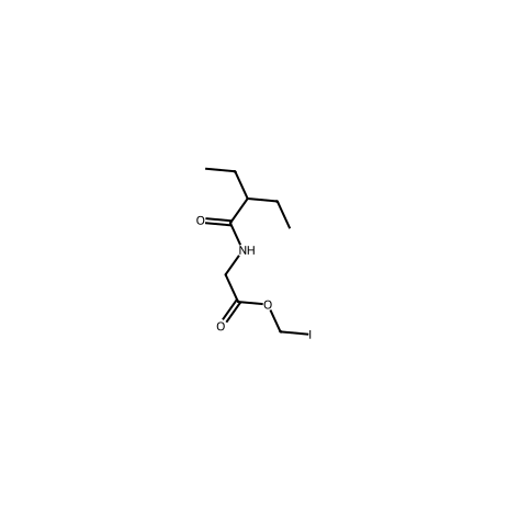 CCC(CC)C(=O)NCC(=O)OCI